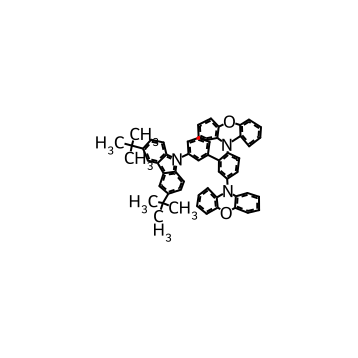 CC(C)(C)c1ccc2c(c1)c1cc(C(C)(C)C)ccc1n2-c1cccc(-c2cc(N3c4ccccc4Oc4ccccc43)ccc2N2c3ccccc3Oc3ccccc32)c1